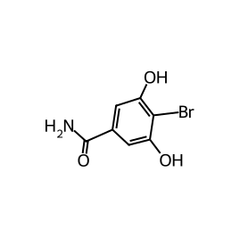 NC(=O)c1cc(O)c(Br)c(O)c1